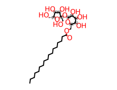 CCCCCCCCCCCCCCCCC(=O)OC[C@H]1O[C@H](O[C@]2(CO)O[C@H](CO)[C@@H](O)[C@@H]2O)[C@H](O)[C@@H](O)[C@@H]1O